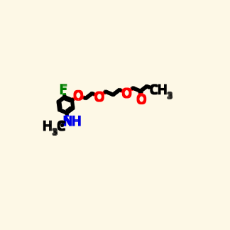 CCC(=O)COCCCOCCOc1cc(NC)ccc1F